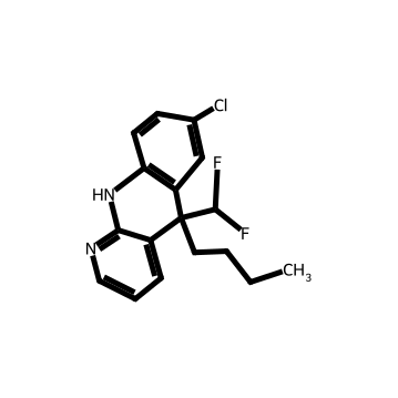 CCCCC1(C(F)F)c2cc(Cl)ccc2Nc2ncccc21